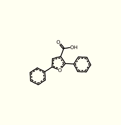 O=C(O)c1cc(-c2ccccc2)oc1-c1ccccc1